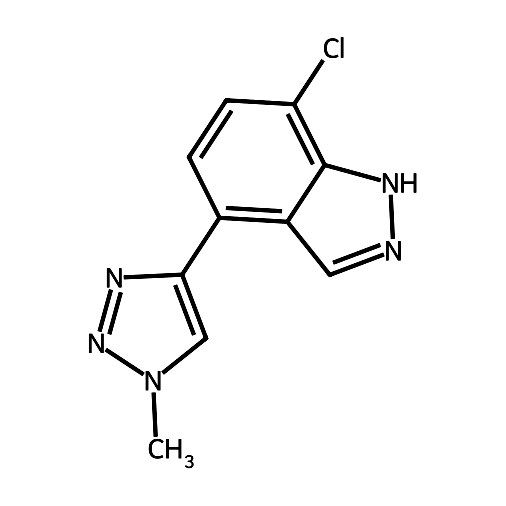 Cn1cc(-c2ccc(Cl)c3[nH]ncc23)nn1